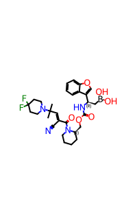 CC(C)(C=C(C#N)C(=O)N1CCCC[C@@H]1COC(=O)N[C@H](CB(O)O)c1coc2ccccc12)N1CCC(F)(F)CC1